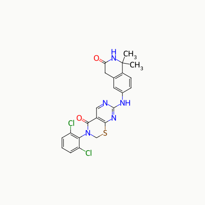 CC1(C)NC(=O)Cc2cc(Nc3ncc4c(n3)SCN(c3c(Cl)cccc3Cl)C4=O)ccc21